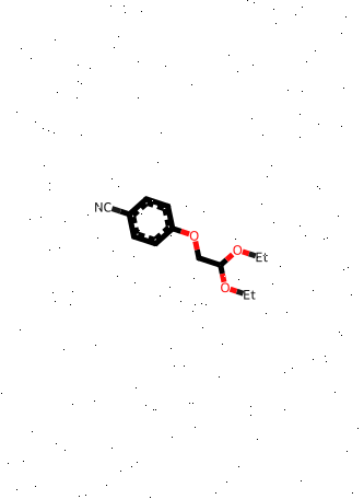 CCOC(COc1ccc(C#N)cc1)OCC